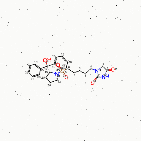 O=C1CN(CCCCCS(=O)(=O)N2CCC[C@@H]2C(O)(c2ccccc2)c2ccccc2)C(=O)N1